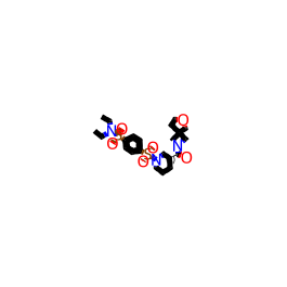 CCN(CC)S(=O)(=O)c1ccc(S(=O)(=O)N2CCC[C@@H](C(=O)N3CC4(CCOC4)C3)C2)cc1